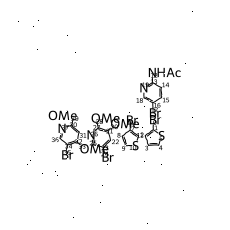 Brc1cccs1.Brc1ccsc1.CC(=O)Nc1ccc(Br)cn1.COc1cc(Br)cnc1OC.COc1cc(OC)c(Br)cn1